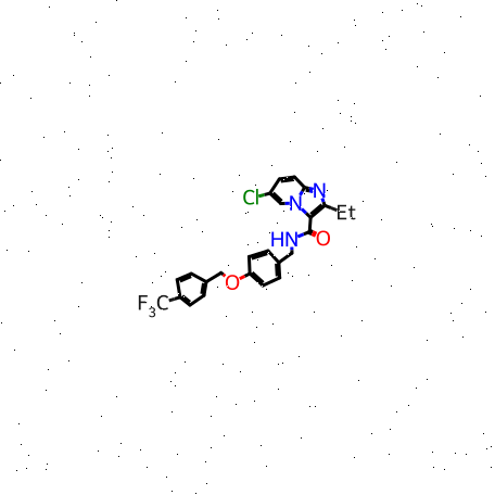 CCc1nc2ccc(Cl)cn2c1C(=O)NCc1ccc(OCc2ccc(C(F)(F)F)cc2)cc1